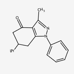 Cc1nn(-c2ccccc2)c2c1C(=O)CC(C(C)C)C2